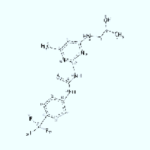 Cc1cc(NCC(C)O)nc(NC(=O)Nc2ccc(C(F)(F)F)cc2)n1